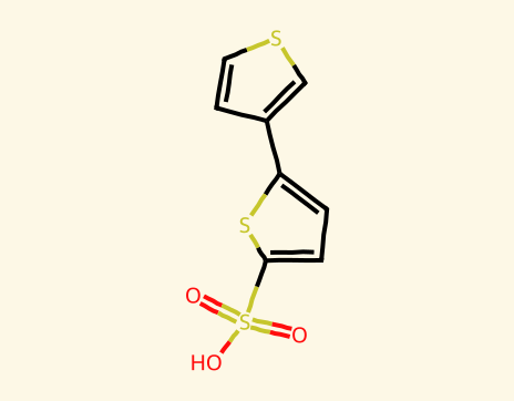 O=S(=O)(O)c1ccc(-c2ccsc2)s1